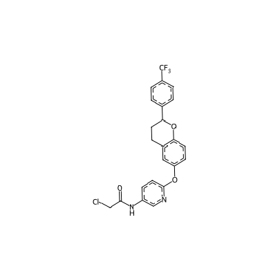 O=C(CCl)Nc1ccc(Oc2ccc3c(c2)CCC(c2ccc(C(F)(F)F)cc2)O3)nc1